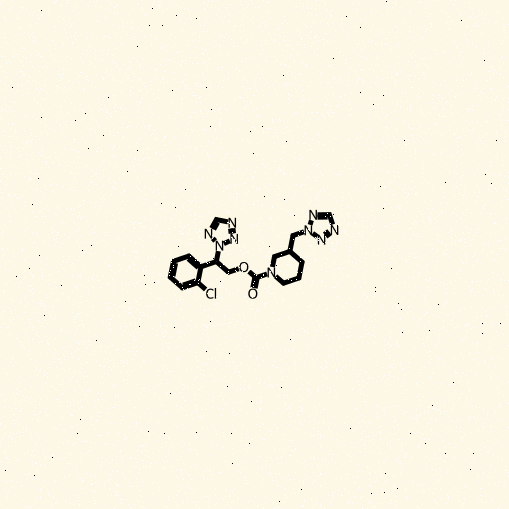 O=C(OCC(c1ccccc1Cl)n1ncnn1)N1CCCC(Cn2ncnn2)C1